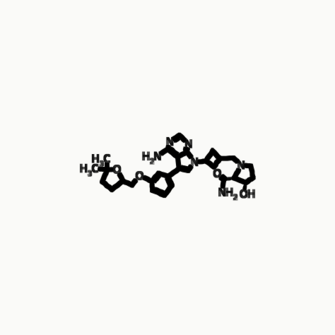 CC1(C)CCC(COc2cccc(-c3cn(C4CC(CN5CC[C@@H](O)[C@H]5C(N)=O)C4)c4ncnc(N)c34)c2)O1